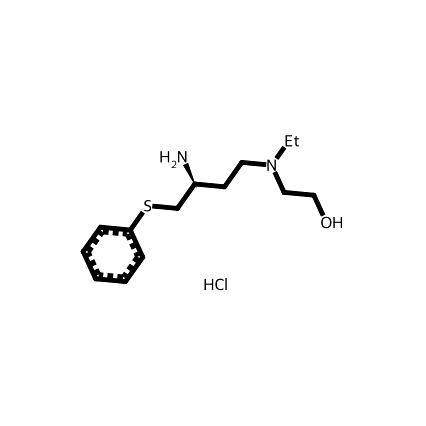 CCN(CCO)CC[C@H](N)CSc1ccccc1.Cl